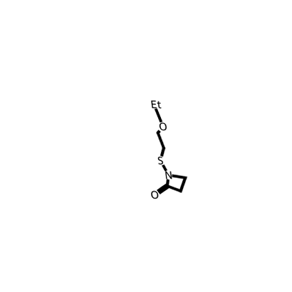 CCOCCSN1CCC1=O